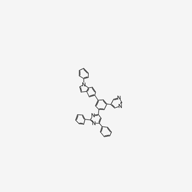 c1ccc(-c2cc(-c3cc(-c4cncnc4)cc(-c4ccc5c(ccn5-c5ccccc5)c4)c3)nc(-c3ccccc3)n2)cc1